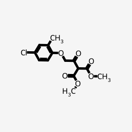 COC(=O)C(C(=O)COc1ccc(Cl)cc1C)C(=O)OC